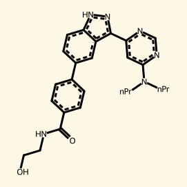 CCCN(CCC)c1cc(-c2n[nH]c3ccc(-c4ccc(C(=O)NCCO)cc4)cc23)ncn1